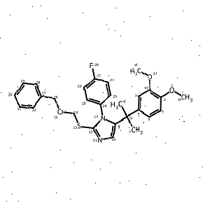 COc1ccc(C(C)(C)c2cnc(SCOCc3ccccc3)n2-c2ccc(F)cc2)cc1OC